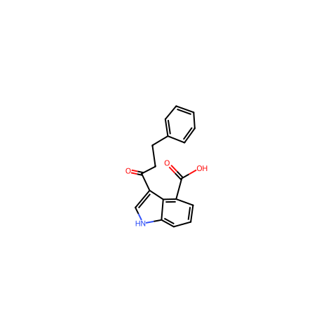 O=C(O)c1cccc2[nH]cc(C(=O)CCc3ccccc3)c12